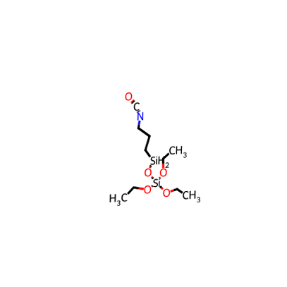 CCO[Si](OCC)(OCC)O[SiH2]CCCN=C=O